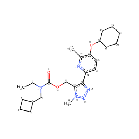 CCN(CC1CCC1)C(=O)OCc1c(-c2ccc(OC3CCCCC3)c(C)n2)nnn1C